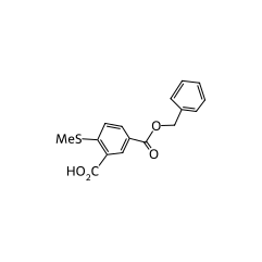 CSc1ccc(C(=O)OCc2ccccc2)cc1C(=O)O